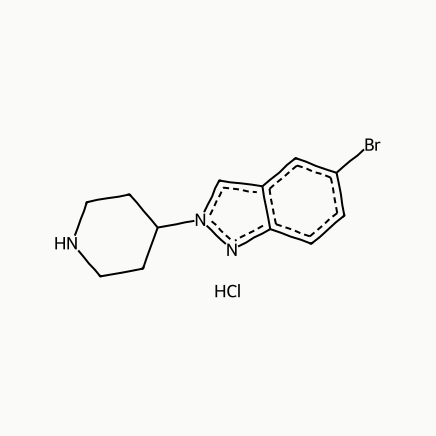 Brc1ccc2nn(C3CCNCC3)cc2c1.Cl